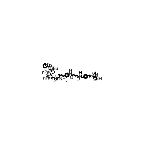 C=C(CCc1ccc(NC(=O)CCCC(=O)NCc2ccc(COc3nc(C)nc4[nH]cnc34)cc2)cc1)C(N)c1csc([C@@H](C[C@H](C(C)C)N(CCC)C(=O)[C@@H](NC(=O)[C@H]2CCCCN2C)[C@@H](C)CC)OCCC)n1